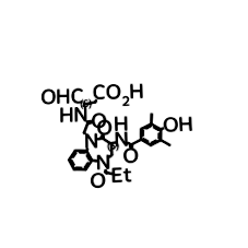 CCC(=O)N1C[C@H](NC(=O)c2cc(C)c(O)c(C)c2)C(=O)N(CC(=O)N[C@H](C=O)CC(=O)O)c2ccccc21